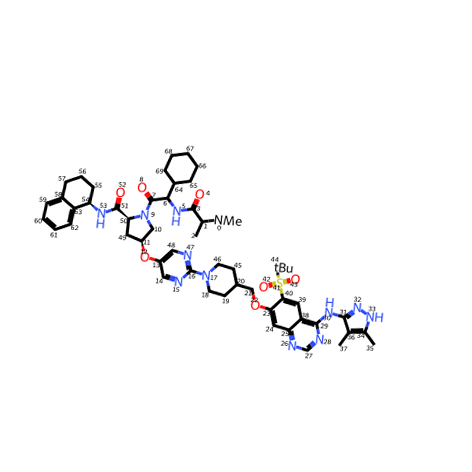 CNC(C)C(=O)NC(C(=O)N1C[C@@H](Oc2cnc(N3CCC(COc4cc5ncnc(Nc6n[nH]c(C)c6C)c5cc4S(=O)(=O)C(C)(C)C)CC3)nc2)C[C@H]1C(=O)N[C@@H]1CCCc2ccccc21)C1CCCCC1